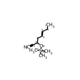 C#CC(CC=CCC)O[Si](C)(C)C